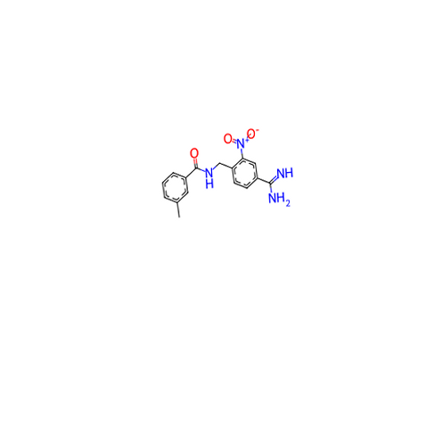 Cc1cccc(C(=O)NCc2ccc(C(=N)N)cc2[N+](=O)[O-])c1